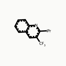 CC(C)c1nc2ccccc2cc1C(F)(F)F